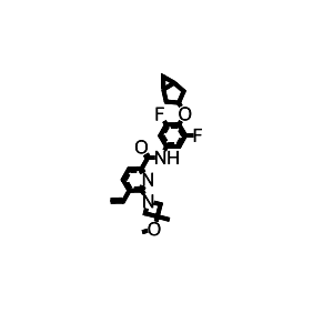 C=Cc1ccc(C(=O)Nc2cc(F)c(OC3CC4CC4C3)c(F)c2)nc1N1CC(C)(OC)C1